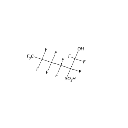 O=S(=O)(O)C(F)(C(O)(F)F)C(F)(F)C(F)(F)C(F)(F)C(F)(F)F